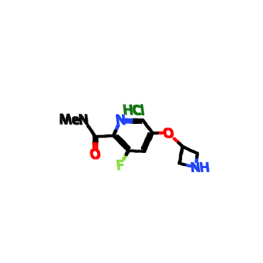 CNC(=O)c1ncc(OC2CNC2)cc1F.Cl